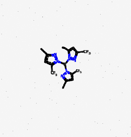 Cc1cc(C(F)(F)F)n(B(n2nc(C(F)(F)F)cc2C)n2nc(C)cc2C(F)(F)F)n1